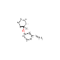 C=Cc1cccc(OC2(CC)CCCCC2)c1